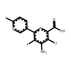 Nc1c(F)c(-c2ccc(I)nc2)nc(C(=O)O)c1Cl